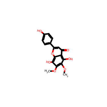 COc1c(OC)c(O)c2c(=O)cc(-c3ccc(O)cc3)oc2c1O